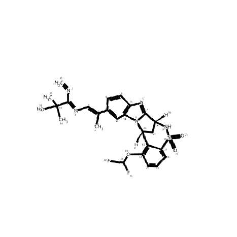 C=N/C(=N\C=C(/C)c1ccc2nc3n(c2c1)[C@@H]1C[C@H]3NS(=O)(=O)c2cccc(OC(F)F)c21)C(C)(C)O